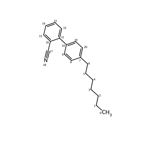 CCCCCCCc1ccc(-c2ccccc2C#N)cc1